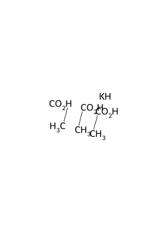 CC(=O)O.CC(=O)O.CC(=O)O.[KH]